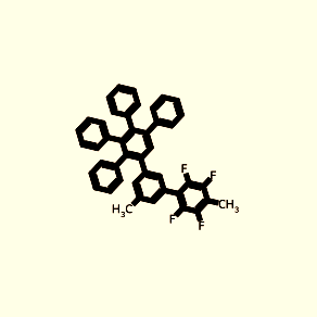 Cc1cc(-c2cc(-c3ccccc3)c(-c3ccccc3)c(-c3ccccc3)c2-c2ccccc2)cc(-c2c(F)c(F)c(C)c(F)c2F)c1